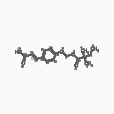 CCC(C)(C)C(=O)OCOc1ccc(/C=C/C(=O)O)cc1